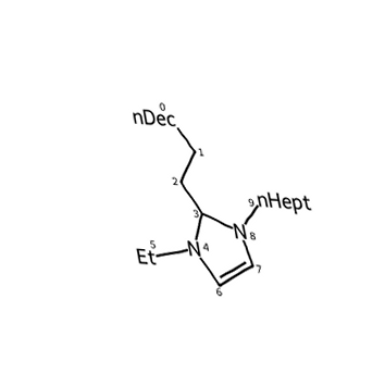 CCCCCCCCCCCCC1N(CC)C=CN1CCCCCCC